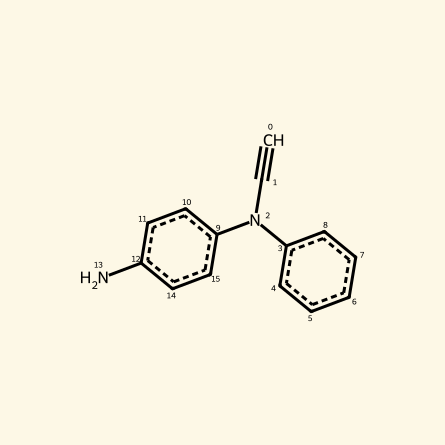 C#CN(c1ccccc1)c1ccc(N)cc1